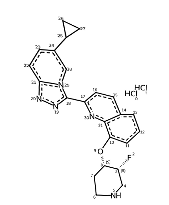 Cl.Cl.F[C@@H]1CNCC[C@@H]1Oc1cccc2ccc(-c3nnc4ccc(C5CC5)cn34)nc12